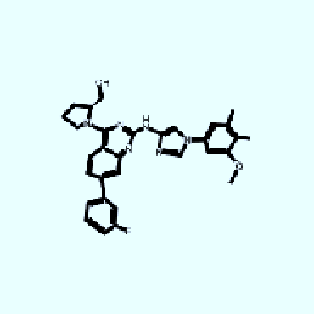 COc1cc(-n2cnc(Nc3nc(N4CCC[C@H]4CO)c4ccc(-c5cccc(F)c5)cc4n3)c2)cc(C)c1C